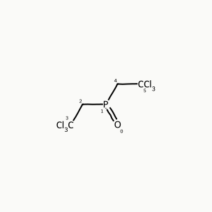 O=[P](CC(Cl)(Cl)Cl)CC(Cl)(Cl)Cl